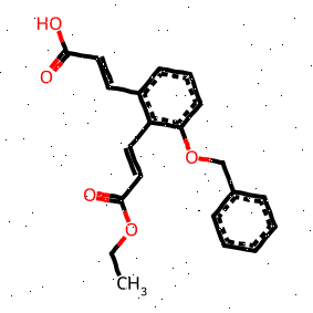 CCOC(=O)/C=C/c1c(C=CC(=O)O)cccc1OCc1ccccc1